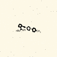 CCCCC(CCC)c1ccccc1C#C[C@H]1CC[C@H](c2ccc(C)cc2)CC1